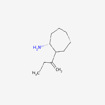 C=C(CC)C1CCCCC[C@H]1N